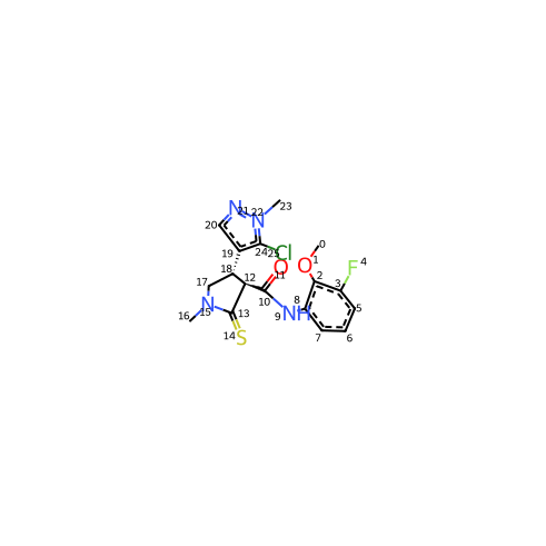 COc1c(F)cccc1NC(=O)[C@H]1C(=S)N(C)C[C@@H]1c1cnn(C)c1Cl